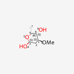 CO[C@H]1C[C@@H](O)O[C@H](C)[C@@H]1O